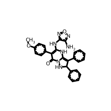 COc1ccc(C2=C(Nc3nonc3N)NC3=C(c4ccccc4)C(c4ccccc4)NN3C2=O)cc1